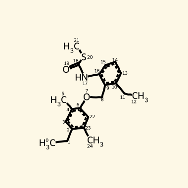 CCc1cc(C)c(OCc2c(CC)cccc2NC(=O)SC)cc1C